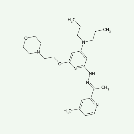 CCCN(CCC)c1cc(N/N=C(\C)c2cc(C)ccn2)nc(OCCN2CCOCC2)c1